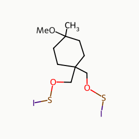 COC1(C)CCC(COSI)(COSI)CC1